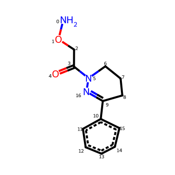 NOCC(=O)N1CCCC(c2ccccc2)=N1